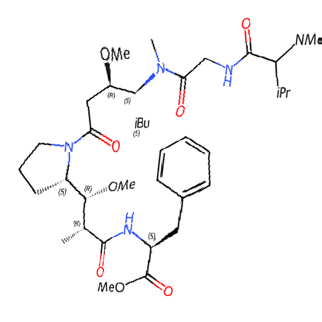 CC[C@H](C)[C@@H]([C@@H](CC(=O)N1CCC[C@H]1[C@H](OC)[C@@H](C)C(=O)N[C@@H](Cc1ccccc1)C(=O)OC)OC)N(C)C(=O)CNC(=O)C(NC)C(C)C